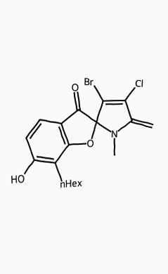 C=C1C(Cl)=C(Br)C2(Oc3c(ccc(O)c3CCCCCC)C2=O)N1C